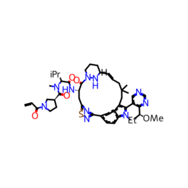 C=CC(=O)N1CC[C@H](C(=O)N(C)C(C(=O)N[C@H]2Cc3nc(ns3)-c3ccc4c(c3)c(c(-c3cncnc3[C@H](C)OC)n4CC)CC(C)(C)C/C=C/[C@@H]3CCCN(N3)C2=O)C(C)C)C1